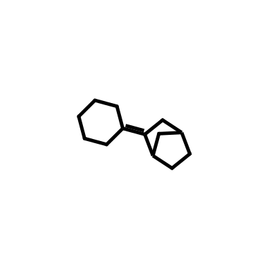 C1CCC(=C2CC3CCC2C3)CC1